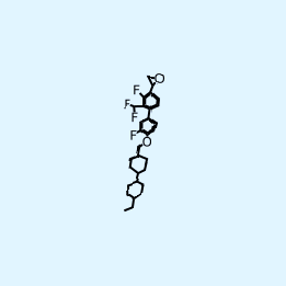 CCC1CCC(C2CCC(COc3ccc(-c4ccc(C5CO5)c(F)c4C(F)F)cc3F)CC2)CC1